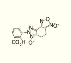 O=C(O)c1ccccc1-n1nc2c([n+]1[O-])CCc1c-2no[n+]1[O-]